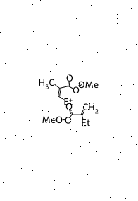 C=C(CC)C(=O)OOC.CCC=C(C)C(=O)OOC